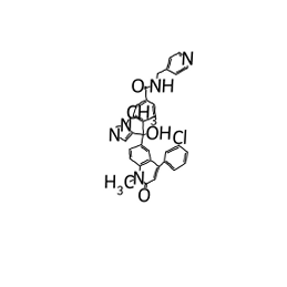 Cn1cncc1C(O)(c1ccc(C(=O)NCc2ccncc2)cc1)c1ccc2c(c1)c(-c1cccc(Cl)c1)cc(=O)n2C